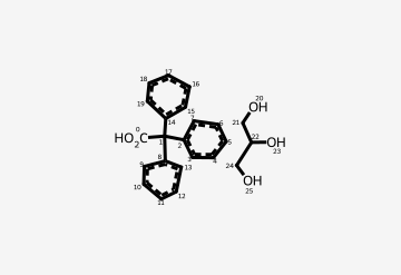 O=C(O)C(c1ccccc1)(c1ccccc1)c1ccccc1.OCC(O)CO